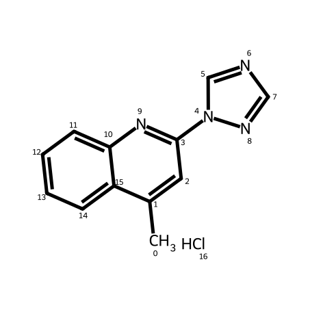 Cc1cc(-n2cncn2)nc2ccccc12.Cl